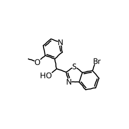 COc1ccncc1C(O)c1nc2cccc(Br)c2s1